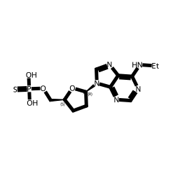 CCNc1ncnc2c1ncn2[C@H]1CC[C@@H](COP(O)(O)=S)O1